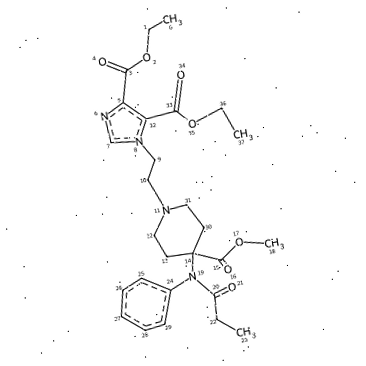 CCOC(=O)c1ncn(CCN2CCC(C(=O)OC)(N(C(=O)CC)c3ccccc3)CC2)c1C(=O)OCC